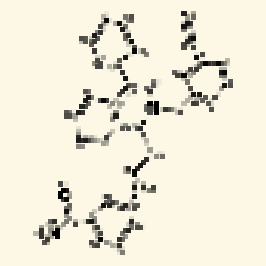 N#Cc1cccc(CN(CCCOc2cccc(C(N)=O)c2)CC(c2ccccc2)c2ccccc2)c1